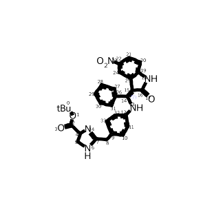 CC(C)(C)OC(=O)C1CNC(Cc2ccc(N/C(=C3\C(=O)Nc4ccc([N+](=O)[O-])cc43)c3ccccc3)cc2)=N1